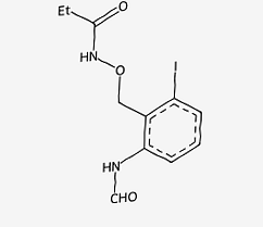 CCC(=O)NOCc1c(I)cccc1NC=O